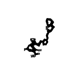 O=C(O)c1cc(F)cc(C(=O)/C=C/c2cccc(/C=C/c3ccc4ccccc4n3)c2)c1O